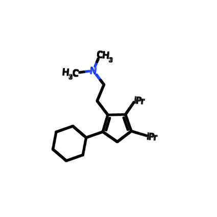 CC(C)C1=C(C(C)C)C(CCN(C)C)=C(C2CCCCC2)C1